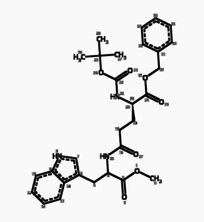 COC(=O)C(Cc1c[nH]c2ccccc12)NC(=O)CC[C@@H](NC(=O)OC(C)(C)C)C(=O)OCc1ccccc1